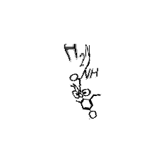 CCc1cc(OC)cc(C)c1S(=O)(=O)N(C)CC(=O)NCCN